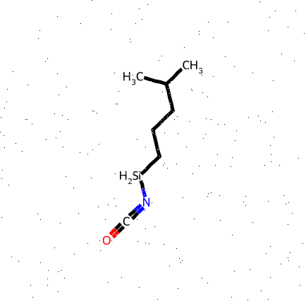 CC(C)CCC[SiH2]N=C=O